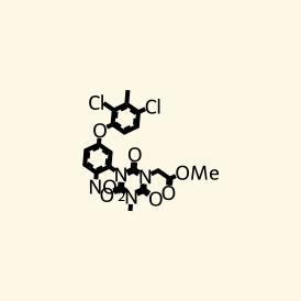 COC(=O)Cn1c(=O)n(C)c(=O)n(-c2cc(Oc3ccc(Cl)c(C)c3Cl)ccc2[N+](=O)[O-])c1=O